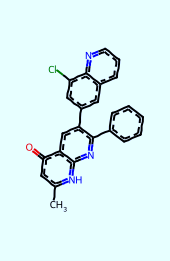 Cc1cc(=O)c2cc(-c3cc(Cl)c4ncccc4c3)c(-c3ccccc3)nc2[nH]1